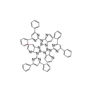 c1ccc(-c2cc(-c3ccccc3)nc(N3B4N(B5N(B6N4c4cccnc4N6c4nc(-c6ccccc6)cc(-c6ccccc6)n4)c4cccnc4N5c4nc(-c5ccccc5)cc(-c5ccccc5)n4)c4cccnc43)n2)cc1